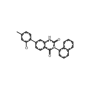 Cc1ccc(-c2ccc3c(=O)n(-c4cccc5ccccc45)c(=O)[nH]c3c2)c(Cl)c1